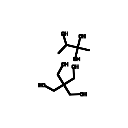 CC(O)C(C)(O)O.OCC(CO)(CO)CO